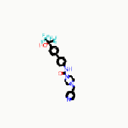 O=C(Nc1ccc(-c2ccc(C(O)(C(F)(F)F)C(F)(F)F)cc2)cc1)N1CCN(Cc2ccncc2)CC1